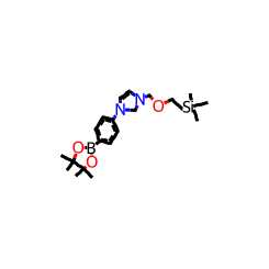 CC1(C)OB(c2ccc(N3C=CN(COCC[Si](C)(C)C)C3)cc2)OC1(C)C